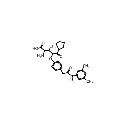 Cc1cc(C)cc(NC(=O)Cc2ccc(OC(C(=O)C3CCCC3)C(C)[C@@H](N)C(=O)O)cc2)c1